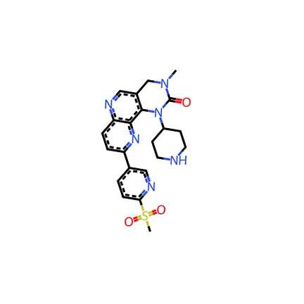 CN1Cc2cnc3ccc(-c4ccc(S(C)(=O)=O)nc4)nc3c2N(C2CCNCC2)C1=O